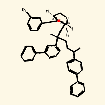 CC(C)c1cccc(N2C[C@H](C(C)(CCC(C)c3ccc(-c4ccccc4)cc3)c3cccc(-c4ccccc4)c3)[C@H]3CC[C@H]2CO3)c1